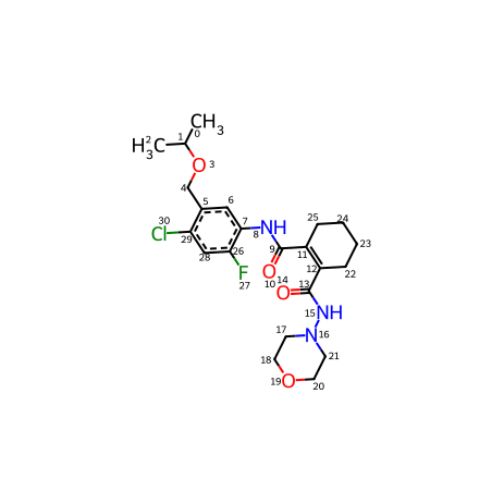 CC(C)OCc1cc(NC(=O)C2=C(C(=O)NN3CCOCC3)CCCC2)c(F)cc1Cl